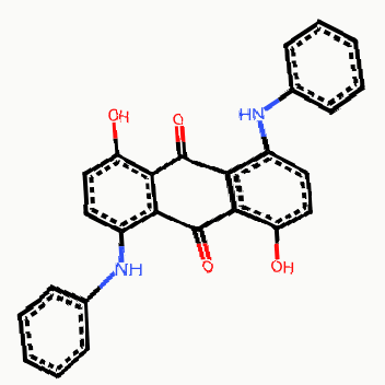 O=C1c2c(O)ccc(Nc3ccccc3)c2C(=O)c2c(O)ccc(Nc3ccccc3)c21